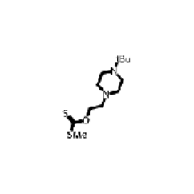 CSC(=S)OCCN1CCN(C(C)(C)C)CC1